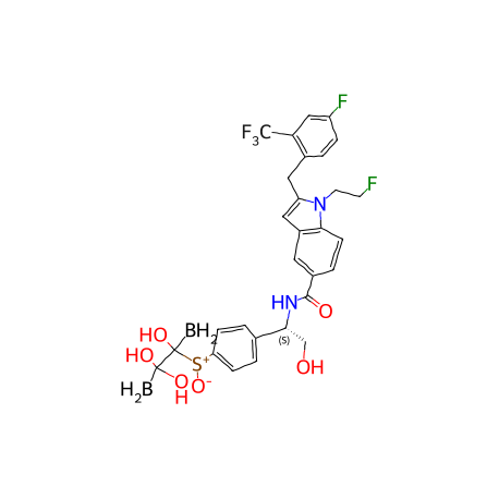 BC(O)(O)C(B)(O)[S+]([O-])c1ccc([C@@H](CO)NC(=O)c2ccc3c(c2)cc(Cc2ccc(F)cc2C(F)(F)F)n3CCF)cc1